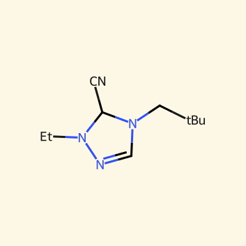 CCN1N=CN(CC(C)(C)C)C1C#N